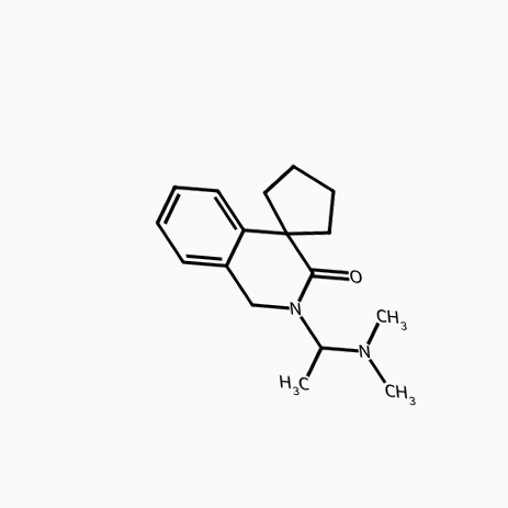 CC(N(C)C)N1Cc2ccccc2C2(CCCC2)C1=O